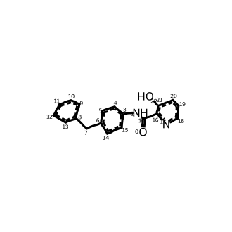 O=C(Nc1ccc(Cc2ccccc2)cc1)c1ncccc1O